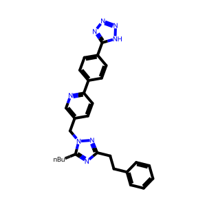 CCCCc1nc(CCc2ccccc2)nn1Cc1ccc(-c2ccc(-c3nnn[nH]3)cc2)nc1